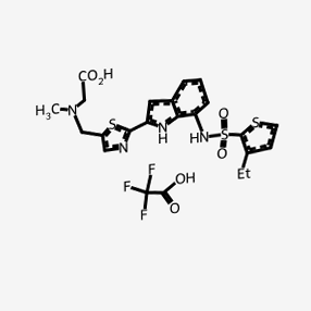 CCc1ccsc1S(=O)(=O)Nc1cccc2cc(-c3ncc(CN(C)CC(=O)O)s3)[nH]c12.O=C(O)C(F)(F)F